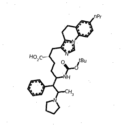 CCCc1ccc2c(c1)CCc1c(C[C@H](CCC(NC(=O)OC(C)(C)C)C(c3ccccc3)C(C)N3CCCC3)C(=O)O)ncn1-2